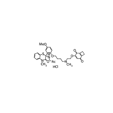 COc1ccc(OCCCCN(C)CCOC2=CC(=O)C3=C(CC3)C2=O)c(C2(NCC(C)=O)Sc3ccccc3N(C)C2=O)c1.Cl